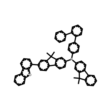 CC1(C)c2ccccc2-c2ccc(N(c3ccc(-c4ccccc4-c4ccccc4)cc3)c3ccc4c(c3)C(C)(C)c3cc(-c5cccc6c5oc5ccccc56)ccc3-4)cc21